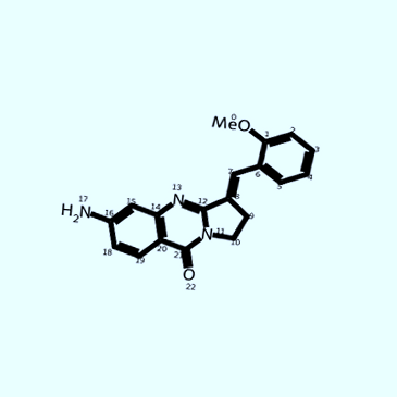 COc1ccccc1C=C1CCn2c1nc1cc(N)ccc1c2=O